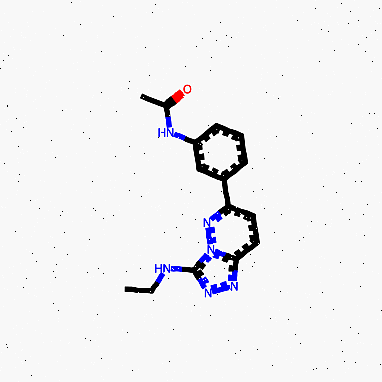 CCNc1nnc2ccc(-c3cccc(NC(C)=O)c3)nn12